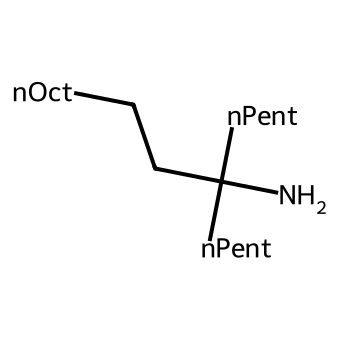 CCCCCCCCCCC(N)(CCCCC)CCCCC